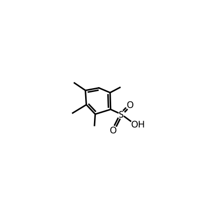 Cc1cc(C)c(S(=O)(=O)O)c(C)c1C